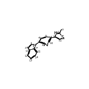 Cc1nc(-c2ccc(-n3ccc4ccccc43)nc2)cs1